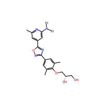 CCN(CC)c1cc(-c2nc(-c3cc(C)c(OC[C@@H](O)CO)c(C)c3)no2)cc(C)n1